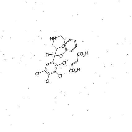 Clc1cc([C@@](Cl)(Oc2ccccc2)[C@@H]2CNCCO2)c(Cl)c(Cl)c1Cl.O=C(O)C=CC(=O)O